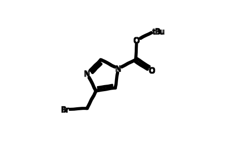 CC(C)(C)OC(=O)n1cnc(CBr)c1